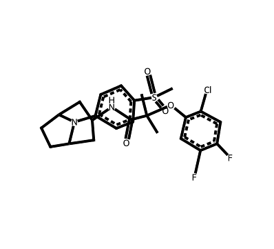 CC(C)(Oc1cc(F)c(F)cc1Cl)C(=O)NC1CC2CCC(C1)N2c1ccc(S(C)(=O)=O)cc1